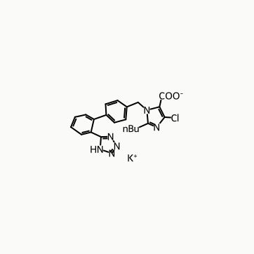 CCCCc1nc(Cl)c(C(=O)[O-])n1Cc1ccc(-c2ccccc2-c2nnn[nH]2)cc1.[K+]